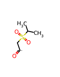 CC(C)S(=O)(=O)C[C]=O